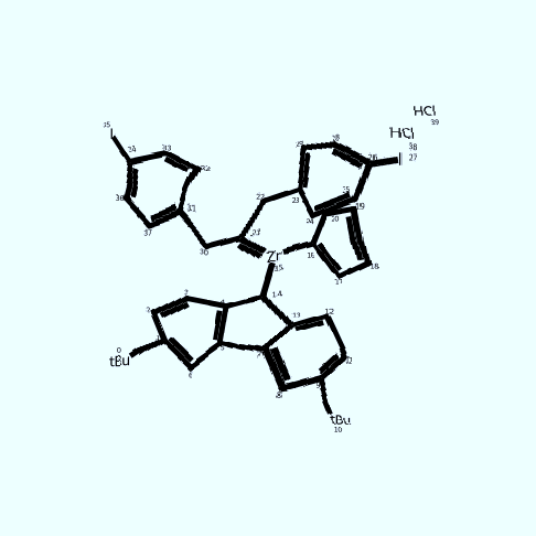 CC(C)(C)c1ccc2c(c1)-c1cc(C(C)(C)C)ccc1[CH]2[Zr]([C]1=CC=CC1)=[C](Cc1ccc(I)cc1)Cc1ccc(I)cc1.Cl.Cl